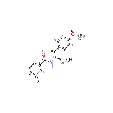 Cc1cccc(C(=O)N[C@@H](Cc2ccc(OC(C)(C)C)cc2)C(=O)O)c1